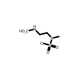 CN(CCNC(=O)O)S(=O)(=O)Cl